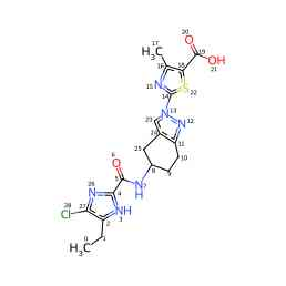 CCc1[nH]c(C(=O)NC2CCc3nn(-c4nc(C)c(C(=O)O)s4)cc3C2)nc1Cl